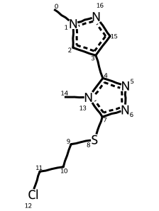 Cn1cc(-c2nnc(SCCCCl)n2C)cn1